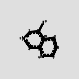 Ic1cncc2ncccc12